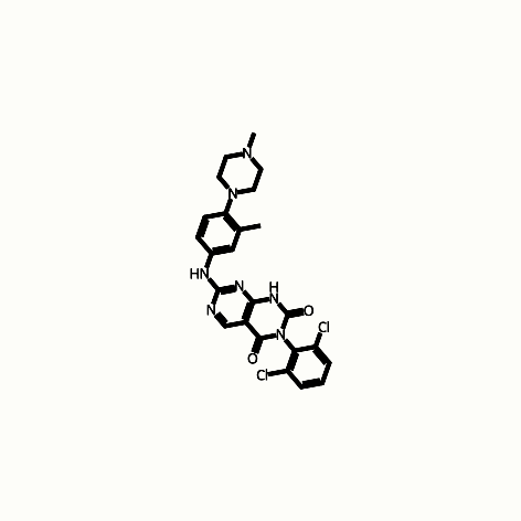 Cc1cc(Nc2ncc3c(=O)n(-c4c(Cl)cccc4Cl)c(=O)[nH]c3n2)ccc1N1CCN(C)CC1